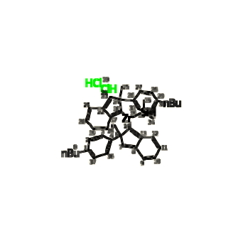 CCCCc1ccc(C2(C)C=c3ccccc3=[C]2[Zr]([C]2=c3ccccc3=CC2(C)c2ccc(CCCC)cc2)[SiH](C)C)cc1.Cl.Cl